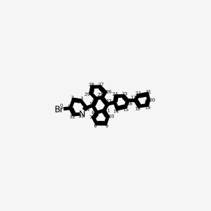 Brc1ccc(-c2c3ccccc3c(-c3ccc(-c4ccccc4)cc3)c3ccccc23)nc1